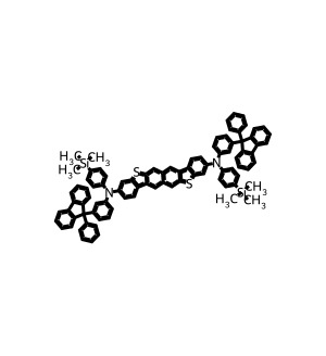 C[Si](C)(C)c1ccc(N(c2cccc(C3(c4ccccc4)c4ccccc4-c4ccccc43)c2)c2ccc3c(c2)sc2cc4cc5c(cc4cc23)sc2cc(N(c3ccc([Si](C)(C)C)cc3)c3cccc(C4(c6ccccc6)c6ccccc6-c6ccccc64)c3)ccc25)cc1